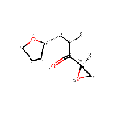 C[C@@H](C[C@@H]1CCCO1)C(=O)[C@@]1(C)CO1